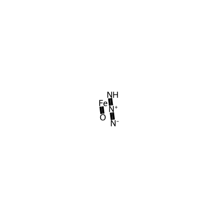 [N-]=[N+]=N.[O]=[Fe]